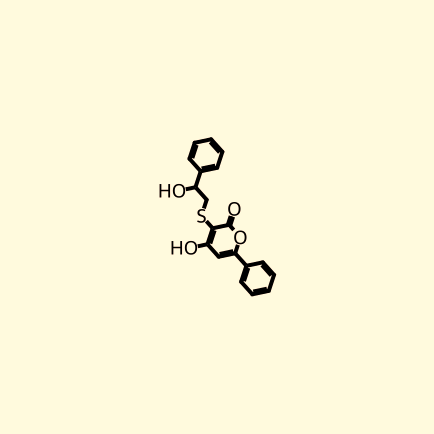 O=c1oc(-c2ccccc2)cc(O)c1SCC(O)c1ccccc1